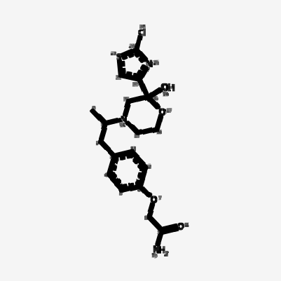 CC(Cc1ccc(OCC(N)=O)cc1)N1CCOC(O)(c2csc(Cl)n2)C1